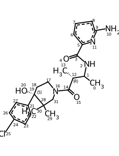 CC(NC(=O)c1cccc(N)n1)[C@@H](C)C(=O)N1CC[C@](O)(c2ccc(Cl)cc2)C(C)(C)C1